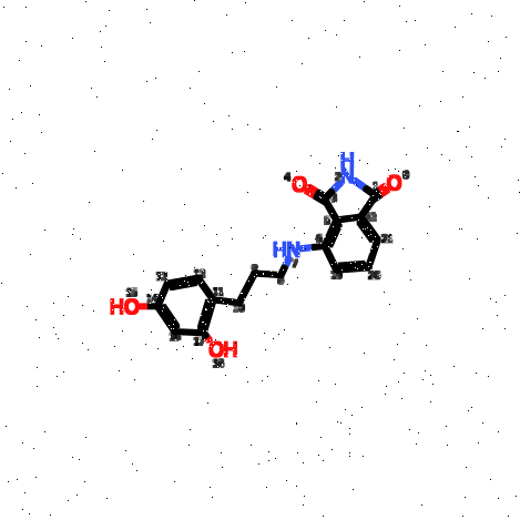 O=C1NC(=O)c2c(NCCCc3ccc(O)cc3O)cccc21